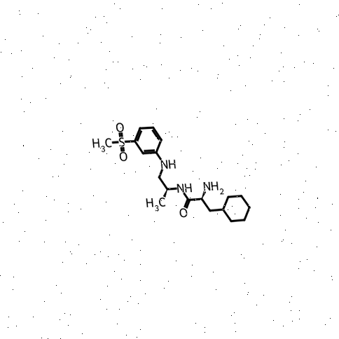 C[C@@H](CNc1cccc(S(C)(=O)=O)c1)NC(=O)[C@@H](N)CC1CCCCC1